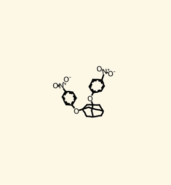 O=[N+]([O-])c1ccc(OC23CC4CC(C2)CC(Oc2ccc([N+](=O)[O-])cc2)(C4)C3)cc1